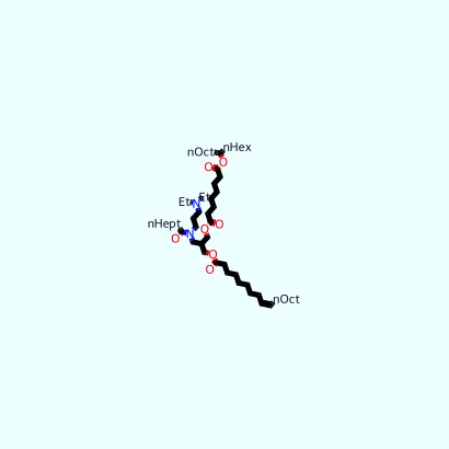 CCCCCCCC/C=C\CCCCCCCC(=O)OCC(COC(=O)CCCCCCC(=O)OC(CCCCCC)CCCCCCCC)CN(CCCN(CC)CC)C(=O)CCCCCCC